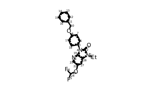 CCn1c(=O)n(-c2ccc(OCc3ccccc3)cc2)c2ncc(OC(F)F)cc21